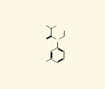 CCC(Cl)C(=O)N(CCl)c1cccc(C)c1